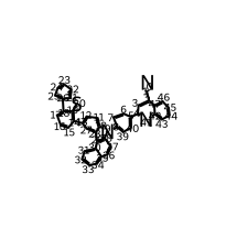 N#Cc1cc(-c2ccc(-n3c4ccc(-c5cccc6c5sc5ccccc56)cc4c4c5ccccc5ccc43)cc2)nc2ccccc12